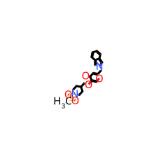 CS(=O)(=O)N1CCC(COc2coc(Cn3cc4ccccc4c3)cc2=O)CC1